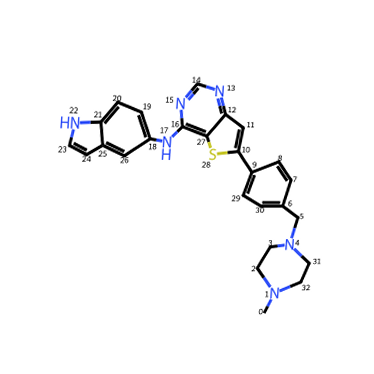 CN1CCN(Cc2ccc(-c3cc4ncnc(Nc5ccc6[nH]ccc6c5)c4s3)cc2)CC1